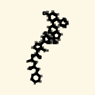 CC(OC(=O)OC1CCCCC1)OC(=O)c1scc(-c2cnc(C3(O)CCc4cc(-c5cc(Cl)ccc5-n5cnnn5)c[n+]([O-])c43)[nH]2)c1F